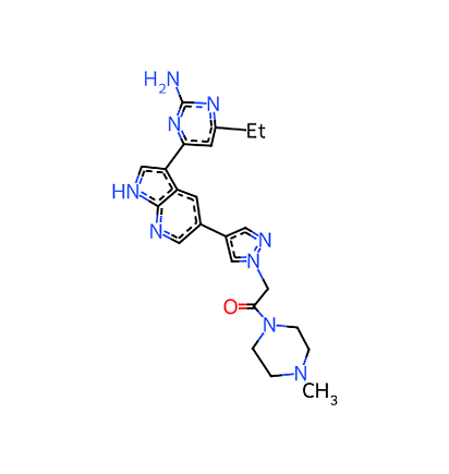 CCc1cc(-c2c[nH]c3ncc(-c4cnn(CC(=O)N5CCN(C)CC5)c4)cc23)nc(N)n1